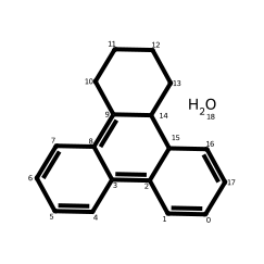 C1=CC2=c3ccccc3=C3CCCCC3C2C=C1.O